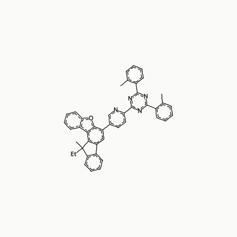 CCC1(C)c2ccccc2-c2cc(-c3ccc(-c4nc(-c5ccccc5C)nc(-c5ccccc5C)n4)nc3)c3oc4ccccc4c3c21